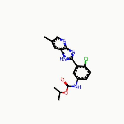 Cc1cnc2nc(-c3cc(NC(=O)OC(C)C)ccc3Cl)[nH]c2c1